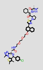 CN[C@@H](C)C(=O)N[C@H](C(=O)C1CCCN1c1nc(-c2ccc(OCCOCCOCCNC(=O)C[C@@H]3N=C(c4ccc(Cl)cc4)c4c(sc(C)c4C)-n4c(C)nnc43)c3ccccc23)cs1)C1CCCCC1